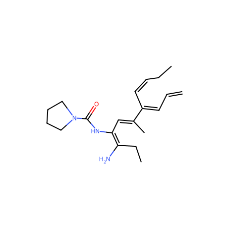 C=C/C=C(\C=C/CC)C(/C)=C/C(NC(=O)N1CCCC1)=C(/N)CC